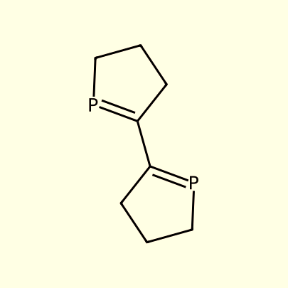 C1CP=C(C2=PCCC2)C1